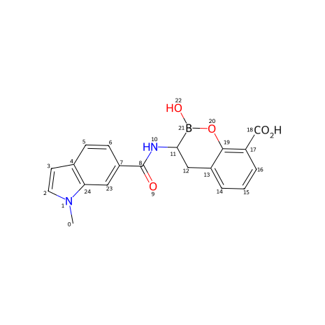 Cn1ccc2ccc(C(=O)NC3Cc4cccc(C(=O)O)c4OB3O)cc21